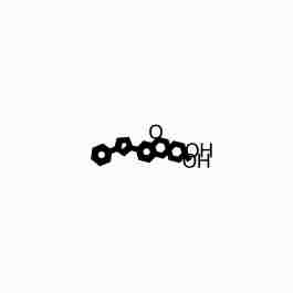 O=C1CC2(CCC(O)(O)CC2)Cc2ccc(C3=CC(c4ccccc4)=CC3)cc21